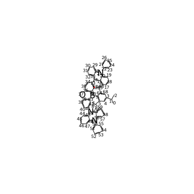 CC(C)c1cc(C(C)C)c(B2c3cc(C4c5ccccc5N(c5ccccc5)c5ccccc54)ccc3Oc3ccc(N4c5ccccc5N(c5ccccc5)c5ccccc54)cc32)c(C(C)C)c1